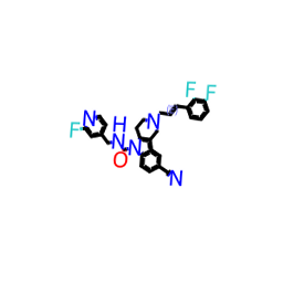 N#Cc1ccc2c(c1)c1c(n2C(=O)NCc2ccnc(F)c2)CCN(C/C=C/c2cccc(F)c2F)C1